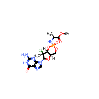 CC(C)OC(=O)[C@H](C)N[P@@]1(=O)OC[C@H]2O[C@@H](n3cnc4c(=O)[nH]c(N)nc43)[C@](C)(Cl)[C@@H]2O1